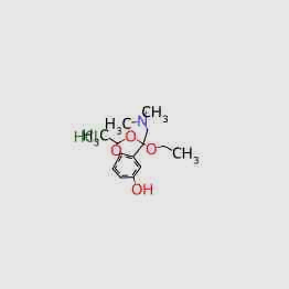 CCOC(CN(C)C)(OC(C)=O)c1cccc(O)c1.Cl